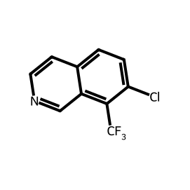 FC(F)(F)c1c(Cl)ccc2ccncc12